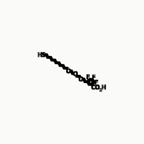 O=C(O)c1cc(CCOCCOCCOCCCCCCCCCCCS)c(F)c(F)c1F